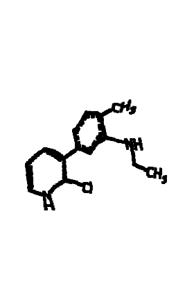 CCNc1cc(C2=CC=CNC2Cl)ccc1C